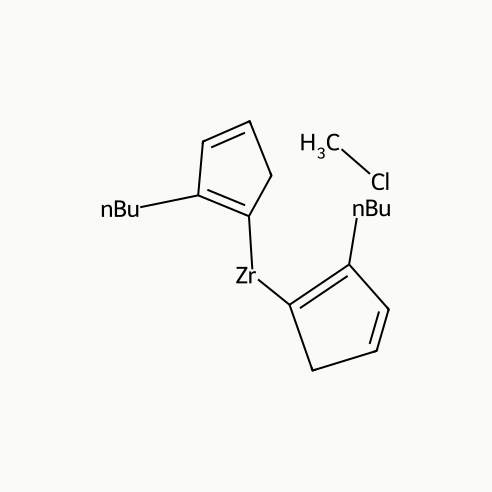 CCCCC1=[C]([Zr][C]2=C(CCCC)C=CC2)CC=C1.CCl